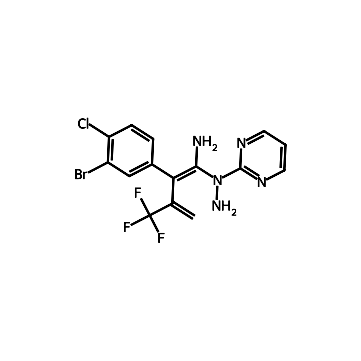 C=C(/C(=C(/N)N(N)c1ncccn1)c1ccc(Cl)c(Br)c1)C(F)(F)F